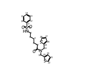 O=C([CH]CCCCNS(=O)(=O)c1ccccc1)N(Cc1cccs1)Cc1cccs1